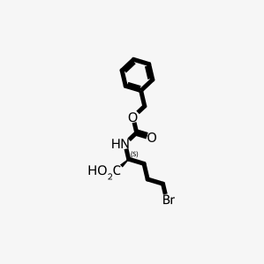 O=C(N[C@@H](CCCBr)C(=O)O)OCc1ccccc1